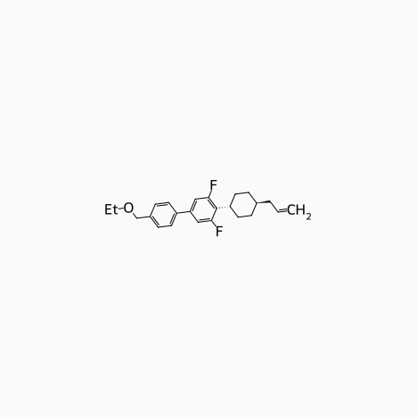 C=CC[C@H]1CC[C@H](c2c(F)cc(-c3ccc(COCC)cc3)cc2F)CC1